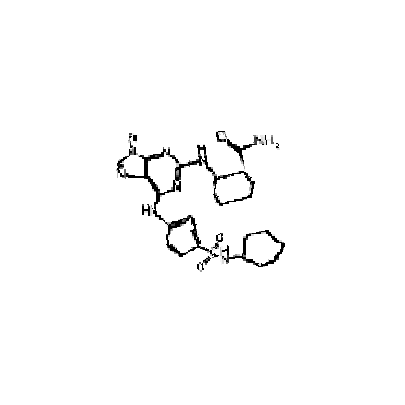 CCn1cnc2c(Nc3ccc(S(=O)(=O)NC4CCCCC4)cc3)nc(N[C@@H]3CCCC[C@@H]3C(N)=O)nc21